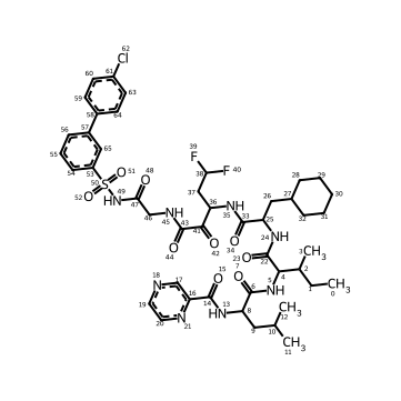 CCC(C)C(NC(=O)C(CC(C)C)NC(=O)c1cnccn1)C(=O)NC(CC1CCCCC1)C(=O)NC(CC(F)F)C(=O)C(=O)NCC(=O)NS(=O)(=O)c1cccc(-c2ccc(Cl)cc2)c1